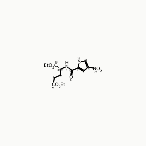 CCOC(=O)CC[C@@H](NC(=O)c1cc([N+](=O)[O-])cs1)C(=O)OCC